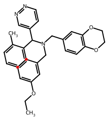 CCOc1cccc(CN(Cc2ccc3c(c2)OCCO3)C(c2ccnnc2)c2ccccc2C)c1